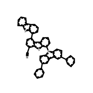 N#Cc1ccc(-c2cccc3c2sc2ccccc23)c2c1sc1c(-n3c4ccc(-c5ccccc5)cc4c4cc(-c5ccccc5)ccc43)cccc12